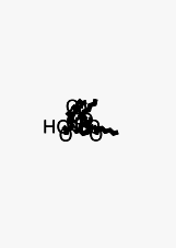 CCCCCC(=O)Oc1ccc(C[C@H](NCC(C)OC(=O)OC(C)C)C(=O)O)cc1OC(=O)CCCCC